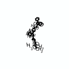 CC(C)(C)OC(=O)N1CC(n2cc(-c3ccc(NC(=O)c4c5n(n(-c6ccccc6)c4=O)CCOC5)cc3)c3c(N)ncnc32)C1